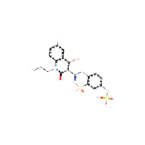 CC(C)(C)CCn1c(=O)c(C2=NP(=O)(O)c3cc(NS(C)(=O)=O)ccc3N2)c(O)c2cc(F)ccc21